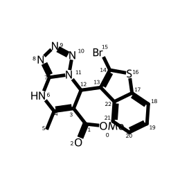 COC(=O)C1=C(C)Nc2nnnn2C1c1c(Br)sc2ccccc12